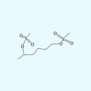 CC(CCCCOS(C)(=O)=O)OS(C)(=O)=O